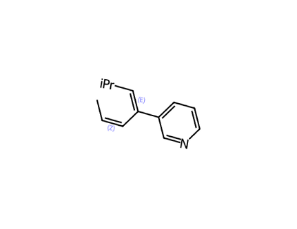 C/C=C\C(=C/C(C)C)c1cccnc1